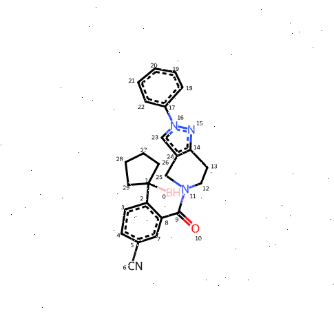 BC1(c2ccc(C#N)cc2C(=O)N2CCc3nn(-c4ccccc4)cc3C2)CCCC1